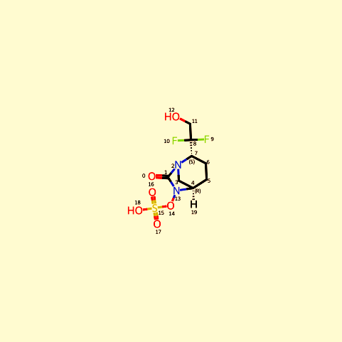 O=C1N2C[C@@H](CC[C@H]2C(F)(F)CO)N1OS(=O)(=O)O